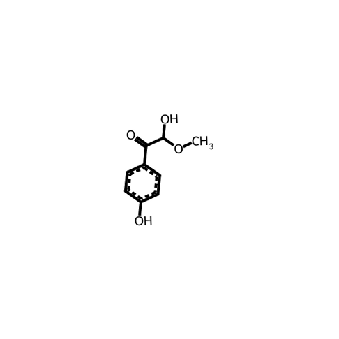 COC(O)C(=O)c1ccc(O)cc1